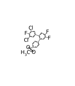 CS(=O)(=O)c1ccc(-c2cc(F)c(F)cc2-c2cc(Cl)c(F)c(Cl)c2)cc1